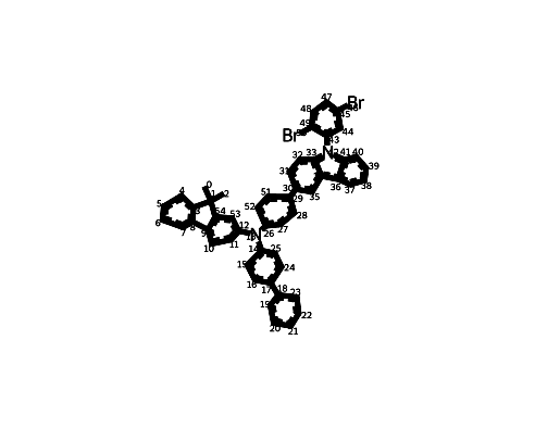 CC1(C)c2ccccc2-c2ccc(N(c3ccc(-c4ccccc4)cc3)c3ccc(-c4ccc5c(c4)c4ccccc4n5-c4cc(Br)ccc4Br)cc3)cc21